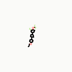 CCCOc1ccc(-c2ccc(-c3ccc(OC(F)F)c(F)c3)cc2)cc1